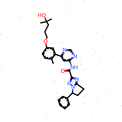 Cc1ccc(OCCCC(C)(C)O)cc1-c1cc(NC(=O)c2nc3n(n2)C(c2ccccc2)CC3)ncn1